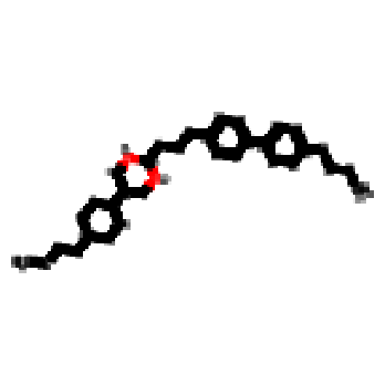 [CH2+][CH-]CCC1CCC(C2COC(CCCc3ccc(-c4ccc(CCCC)cc4)cc3)OC2)CC1